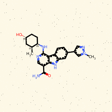 C[C@H]1C[C@H](O)CC[C@H]1Nc1ncc(C(N)=O)c2[nH]c3cc(-c4cnn(C)c4)ccc3c12